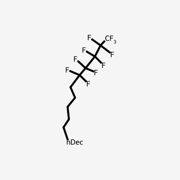 CCCCCCCCCCCCCCCC(F)(F)C(F)(F)C(F)(F)C(F)(F)C(F)(F)F